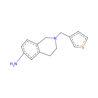 Nc1ccc2c(c1)CCN(Cc1ccsc1)C2